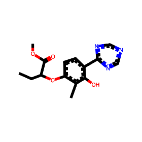 CCC(Oc1ccc(-c2ncncn2)c(O)c1C)C(=O)OC